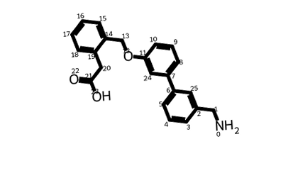 NCc1cccc(-c2cccc(OCc3ccccc3CC(=O)O)c2)c1